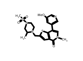 COc1cncc(-c2cn(C)c(=O)c3cc(CN4CCN(S(C)(=O)=O)CC4C)sc23)c1